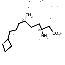 C[C@@H](CCCC1CCC1)CC[C@H](N)CC(=O)O